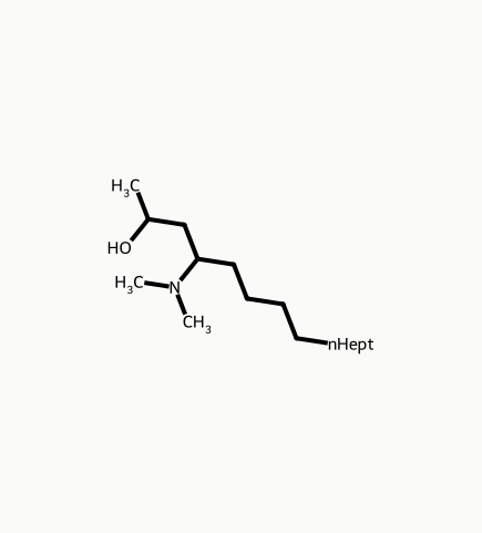 CCCCCCCCCCCC(CC(C)O)N(C)C